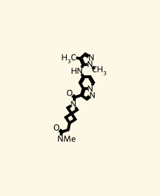 CNC(=O)CC1CC2(C1)CN(C(=O)c1cnn3ccc(Nc4c(C)cnn4C)cc13)C2